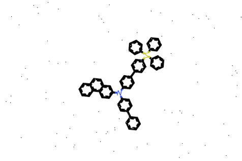 c1ccc(-c2ccc(N(c3ccc(-c4ccc(S(c5ccccc5)(c5ccccc5)c5ccccc5)cc4)cc3)c3ccc4c(ccc5ccccc54)c3)cc2)cc1